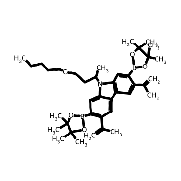 C=C(C)c1cc2c3cc(C(=C)C)c(B4OC(C)(C)C(C)(C)O4)cc3n(C(C)CCCCCCCC)c2cc1B1OC(C)(C)C(C)(C)O1